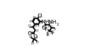 CC(C(N)C(=O)Nc1cc([C@H](C)CC(=O)OC(C)(C)C)ccc1Cl)C(F)(F)F